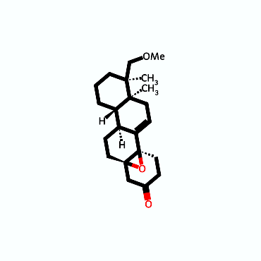 COC[C@]1(C)CCC[C@H]2[C@@H]3CC[C@@]45CC(=O)CC[C@@]4(O5)C3=CC[C@@]21C